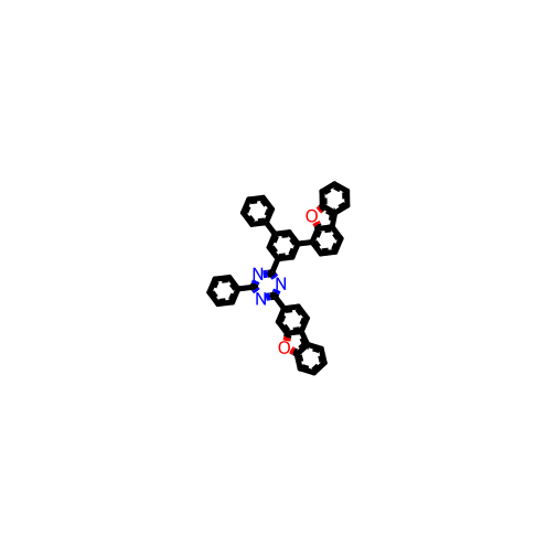 c1ccc(-c2cc(-c3nc(-c4ccccc4)nc(-c4ccc5c(c4)oc4ccccc45)n3)cc(-c3cccc4c3oc3ccccc34)c2)cc1